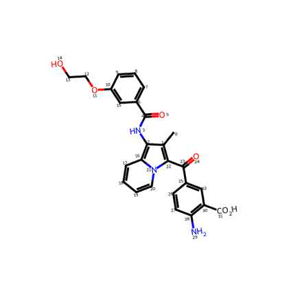 Cc1c(NC(=O)c2cccc(OCCO)c2)c2ccccn2c1C(=O)c1ccc(N)c(C(=O)O)c1